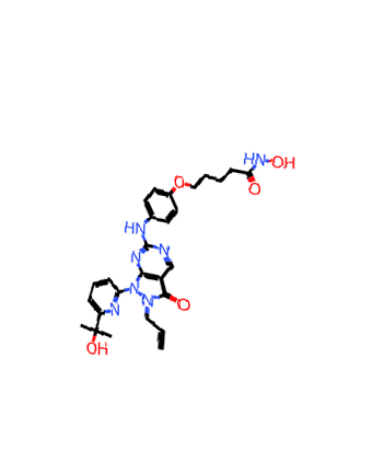 C=CCn1c(=O)c2cnc(Nc3ccc(OCCCCC(=O)NO)cc3)nc2n1-c1cccc(C(C)(C)O)n1